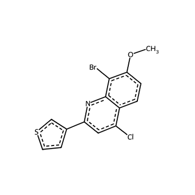 COc1ccc2c(Cl)cc(-c3ccsc3)nc2c1Br